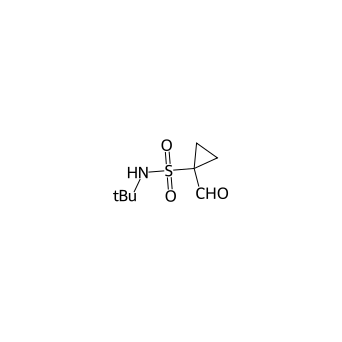 CC(C)(C)NS(=O)(=O)C1(C=O)CC1